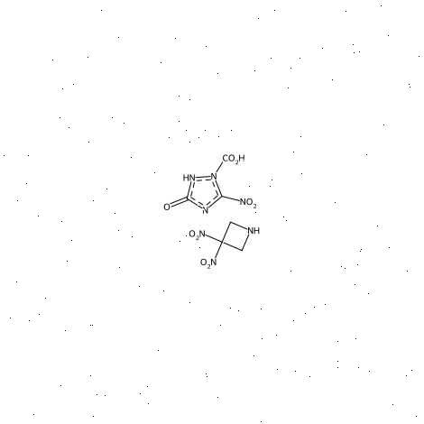 O=C(O)n1[nH]c(=O)nc1[N+](=O)[O-].O=[N+]([O-])C1([N+](=O)[O-])CNC1